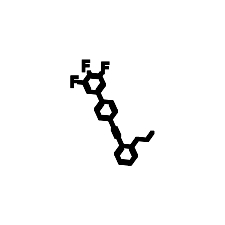 CCCc1ccccc1C#Cc1ccc(-c2cc(F)c(F)c(F)c2)cc1